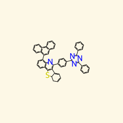 C1=CCC2Sc3c(c(-c4ccc(-c5nc(-c6ccccc6)nc(-c6ccccc6)n5)cc4)nc4c(-c5cc6ccccc6c6ccccc56)cccc34)C2=C1